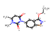 Cn1c(C(F)(F)F)cc(=O)n(-c2ccc3snc(OCC(=O)O)c3c2)c1=O